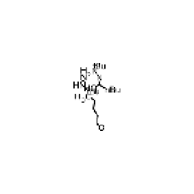 CC(C)(C)NN.CCCCC(O)N=NC(C)(C)C.CCCCC=O